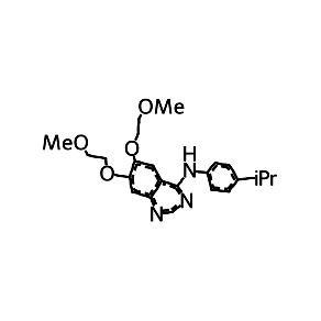 COCCOc1cc2ncnc(Nc3ccc(C(C)C)cc3)c2cc1OCCOC